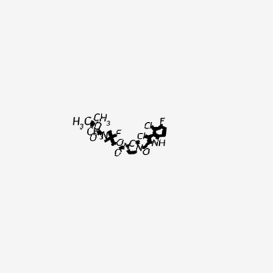 CC(C)(C)OC(=O)N1CC(F)(COC(=O)N2CCN(C(=O)c3[nH]c4ccc(F)c(Cl)c4c3Cl)CC2)C1